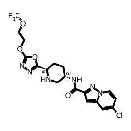 O=C(N[C@H]1CC[C@H](c2nnc(OCCOC(F)(F)F)o2)NC1)c1cc2cc(Cl)ccn2n1